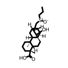 CCC[S+]([O-])C[C@H]1[C@H]2CC[C@@]3(CC[C@H]4[C@@](C)(CCC[C@@]4(C)C(=O)O)[C@@H]3C2)[C@@H]1O